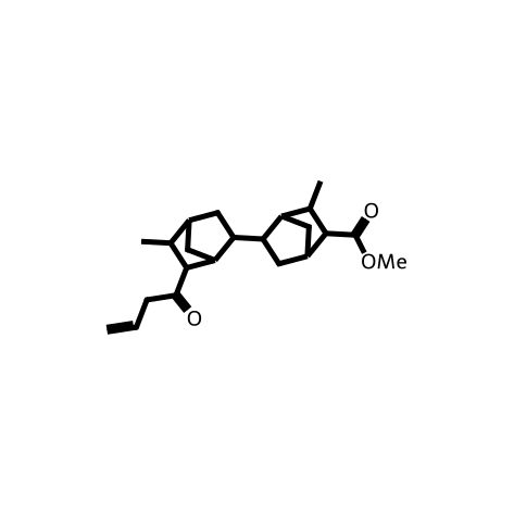 C=CCC(=O)C1C(C)C2CC(C3CC4CC3C(C)C4C(=O)OC)C1C2